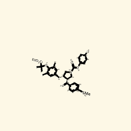 CCOC(=O)C(C)(C)Oc1c(C)cc(C[C@@H]2CN(C(=O)Oc3ccc(Cl)cc3)C[C@H]2C(=O)c2ccc(SC)cc2)cc1C